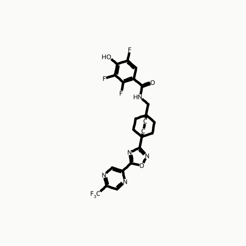 O=C(NCC12CCC(c3noc(-c4cnc(C(F)(F)F)cn4)n3)(CC1)CC2)c1cc(F)c(O)c(F)c1F